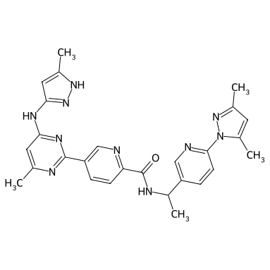 Cc1cc(Nc2cc(C)[nH]n2)nc(-c2ccc(C(=O)NC(C)c3ccc(-n4nc(C)cc4C)nc3)nc2)n1